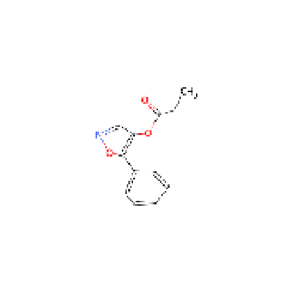 CCC(=O)Oc1cnoc1-c1ccccc1